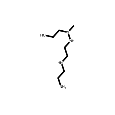 CN(CCO)NCCNCCN